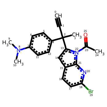 C#CC(C)(c1ccc(N(C)C)cc1)c1cc2ccc(Br)nc2n1C(C)=O